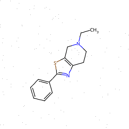 CCN1CCc2nc(-c3ccccc3)sc2C1